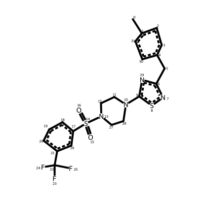 Cc1ccc(Cc2nsc(N3CCN(S(=O)(=O)c4cccc(C(F)(F)F)c4)CC3)n2)cc1